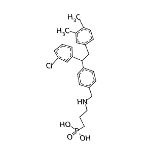 Cc1ccc(CC(c2ccc(CNCCCP(=O)(O)O)cc2)c2cccc(Cl)c2)cc1C